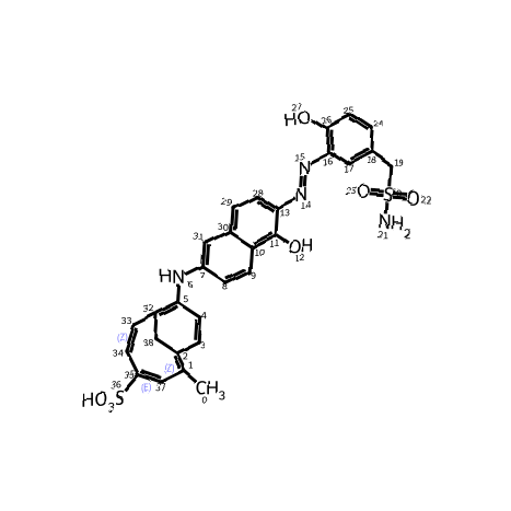 CC1=C2/C=CC(Nc3ccc4c(O)c(N=Nc5cc(CS(N)(=O)=O)ccc5O)ccc4c3)=C(\C=C/C(S(=O)(=O)O)=C\1)C2